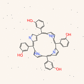 Oc1cccc(-c2c3cc(c(-c4cccc(O)c4)c4ccc([nH]4)c(-c4cccc(O)c4)c4nc(c(-c5cccc(O)c5)c5ccc2[nH]5)C=C4)N=C3)c1